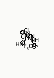 Cc1cc(CNc2ncc3nc(-c4c(Cl)cccc4Cl)n(CCC4CCNCC4)c3n2)c(C(F)(F)F)o1